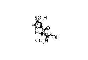 O=C(O)[C@H](CO)NC(=O)[C@@H]1C[C@@H](S(=O)(=O)O)CN1